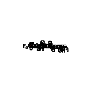 O=C1OC2(CCC3(CC2)OC(=O)C(/C=C/C=C/C=C2C(=O)OC(C(F)(F)F)(C(F)(F)F)OC2=O)=C(O)O3)OC(=O)C1=C/C=C/C=C/C1=C(O)OC2(CCC3(CC2)OC(=O)C(=C/C=C/C=C/C2=C(O)OC(C(F)(F)F)(C(F)(F)F)OC2=O)C(=O)O3)OC1=O